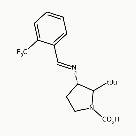 CC(C)(C)C1[C@@H](N=Cc2ccccc2C(F)(F)F)CCN1C(=O)O